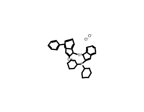 CC1=Cc2c(-c3ccccc3)cccc2[CH]1[Ti+2][CH]1C(P(C2CCCCC2)C2CCCCC2)=Cc2ccccc21.[Cl-].[Cl-]